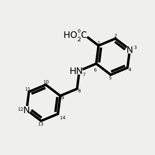 O=C(O)c1cnccc1NCc1ccncc1